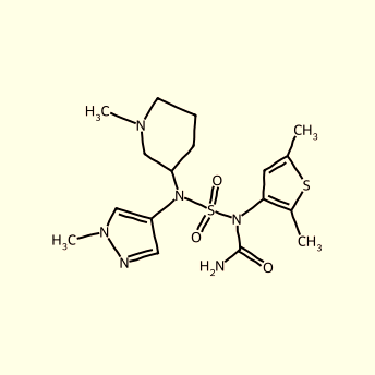 Cc1cc(N(C(N)=O)S(=O)(=O)N(c2cnn(C)c2)C2CCCN(C)C2)c(C)s1